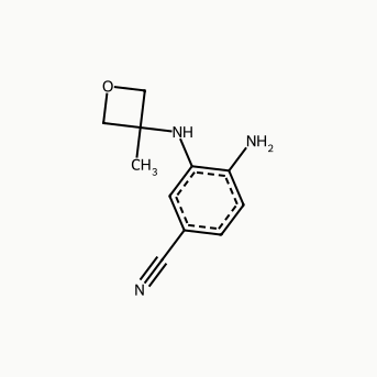 CC1(Nc2cc(C#N)ccc2N)COC1